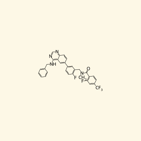 CN(Cc1cc(-c2ccc3ncnc(NCc4ccccc4)c3c2)ccc1F)C(=O)c1ccc(C(F)(F)F)cc1F